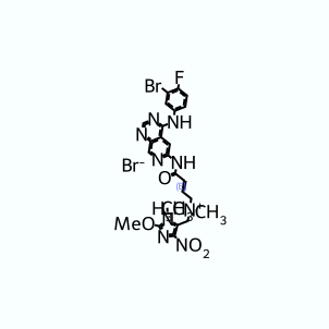 COc1nc([N+](=O)[O-])c(C[N+](C)(C)C/C=C/C(=O)Nc2cc3c(Nc4ccc(F)c(Br)c4)ncnc3cn2)n1C.[Br-]